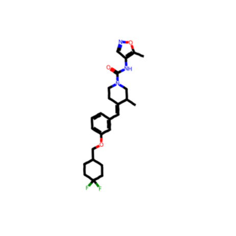 Cc1oncc1NC(=O)N1CCC(=Cc2cccc(OCC3CCC(F)(F)CC3)c2)C(C)C1